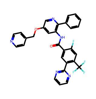 O=C(Nc1cc(OCc2ccncc2)cnc1-c1ccccc1)c1cc(-c2ncccn2)c(C(F)(F)F)cc1F